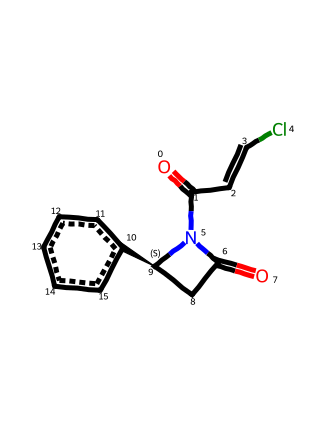 O=C(C=CCl)N1C(=O)C[C@H]1c1ccccc1